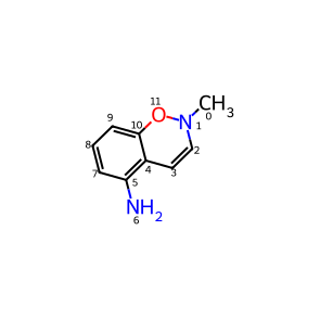 CN1C=Cc2c(N)cccc2O1